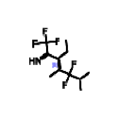 CC/C(C(=N)C(F)(F)F)=C(/C)C(F)(F)C(C)C